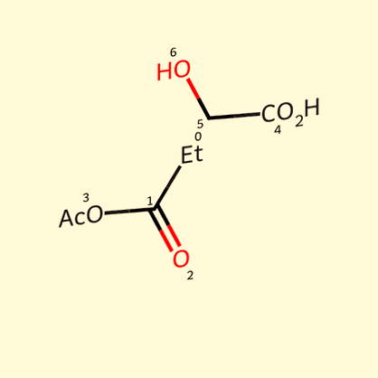 CCC(=O)OC(C)=O.O=C(O)CO